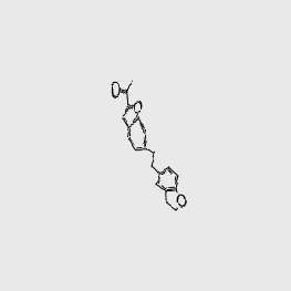 CC(=O)c1cc2ccc(CCc3ccc4c(c3)CCO4)cc2o1